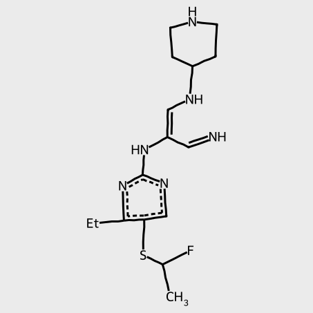 CCc1nc(N/C(C=N)=C/NC2CCNCC2)ncc1SC(C)F